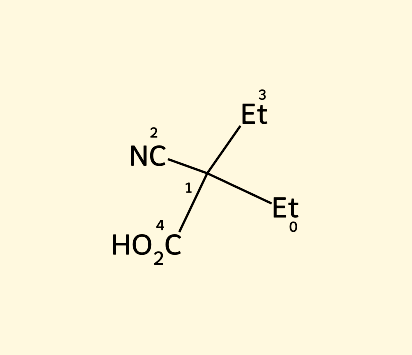 CCC(C#N)(CC)C(=O)O